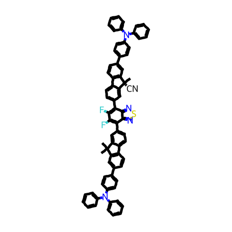 CC1(C)c2cc(-c3ccc(N(c4ccccc4)c4ccccc4)cc3)ccc2-c2ccc(-c3c(F)c(F)c(-c4ccc5c(c4)C(C)(C#N)c4cc(-c6ccc(N(c7ccccc7)c7ccccc7)cc6)ccc4-5)c4nsnc34)cc21